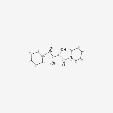 O=C([C@@H](O)[C@H](O)C(=O)N1CCCCC1)N1CCCCC1